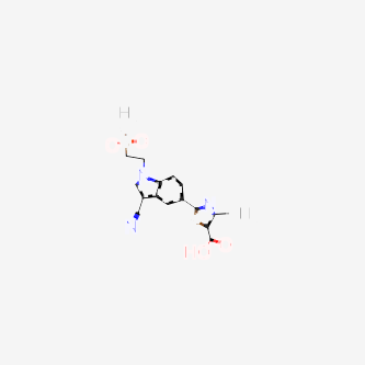 Cc1nc(-c2ccc3c(c2)c(C#N)cn3CCS(C)(=O)=O)sc1C(=O)O